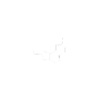 CCc1nc2cnc3ccc(Cl)cc3c2[nH]1